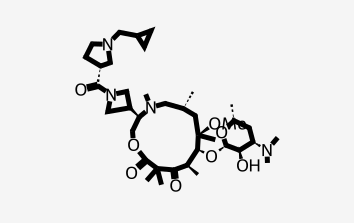 CO[C@]1(C)C[C@@H](C)CN(C)[C@H](C2CN(C(=O)[C@@H]3CCN(CC4CC4)C3)C2)COC(=O)C(C)(C)C(=O)[C@H](C)[C@H]1O[C@@H]1O[C@H](C)C[C@H](N(C)C)[C@H]1O